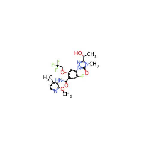 COc1nccc(C)c1NC(=O)c1cc(F)c(-n2nc(C(C)O)n(C)c2=O)cc1OCC(F)(F)F